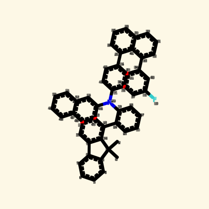 CC1(C)c2ccccc2-c2cccc(-c3ccccc3N(c3ccc(-c4cccc5cccc(-c6cccc(F)c6)c45)cc3)c3ccc4ccccc4c3)c21